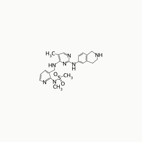 Cc1cnc(Nc2ccc3c(c2)CCNC3)nc1NCc1cccnc1N(C)S(C)(=O)=O